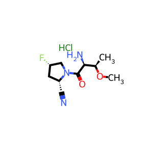 CO[C@H](C)[C@H](N)C(=O)N1C[C@@H](F)C[C@H]1C#N.Cl